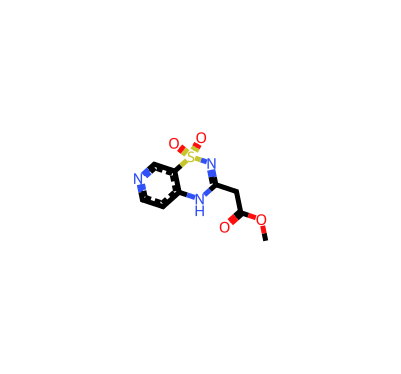 COC(=O)CC1=NS(=O)(=O)c2cnccc2N1